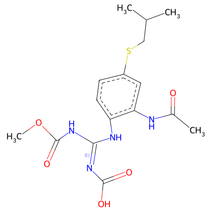 COC(=O)N/C(=N/C(=O)O)Nc1ccc(SCC(C)C)cc1NC(C)=O